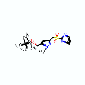 Cn1nc(CS(=O)(=O)c2ncccn2)cc1CO[Si](C)(C)C(C)(C)C